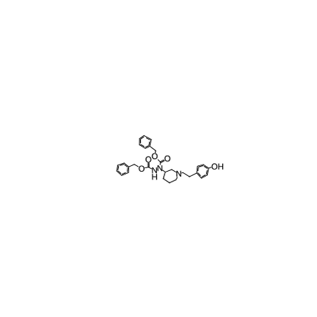 O=C(NN(C(=O)OCc1ccccc1)C1CCCN(CCc2ccc(O)cc2)C1)OCc1ccccc1